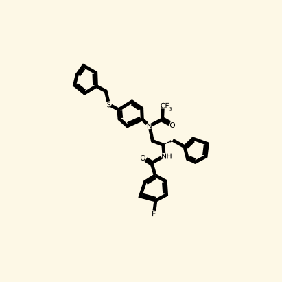 O=C(N[C@@H](Cc1ccccc1)CN(C(=O)C(F)(F)F)c1ccc(SCc2ccccc2)cc1)c1ccc(F)cc1